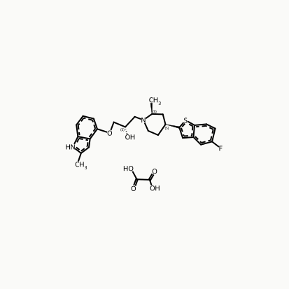 Cc1cc2c(OC[C@@H](O)CN3CC[C@H](c4cc5cc(F)ccc5s4)C[C@@H]3C)cccc2[nH]1.O=C(O)C(=O)O